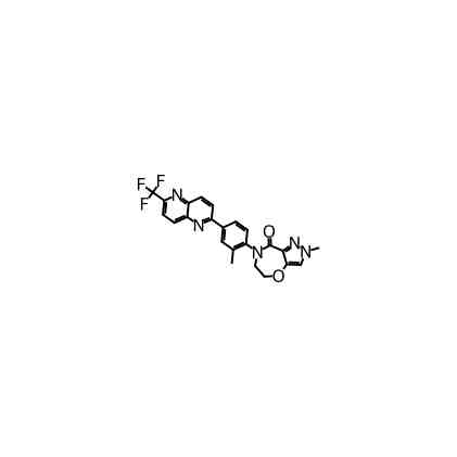 Cc1cc(-c2ccc3nc(C(F)(F)F)ccc3n2)ccc1N1CCOc2cn(C)nc2C1=O